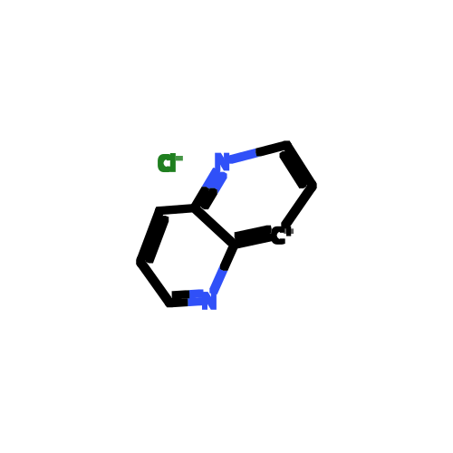 [C+]1=c2ncccc2=NC=C1.[Cl-]